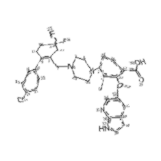 Cc1c(N2CCN(CC3=C(c4ccc(Cl)cc4)CCC(F)(F)C3)CC2)ccc(C(=O)O)c1Oc1cnc2[nH]ccc2c1